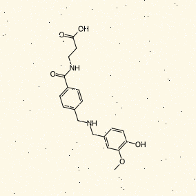 COc1cc(CNCc2ccc(C(=O)NCCC(=O)O)cc2)ccc1O